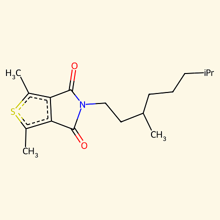 Cc1sc(C)c2c1C(=O)N(CCC(C)CCCC(C)C)C2=O